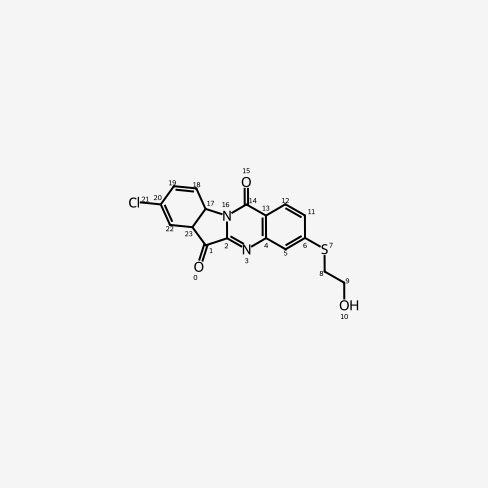 O=C1c2nc3cc(SCCO)ccc3c(=O)n2C2C=CC(Cl)=CC12